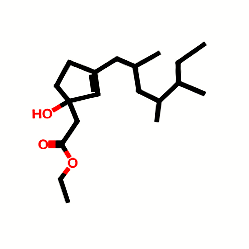 CCOC(=O)CC1(O)C=C(CC(C)CC(C)C(C)CC)CC1